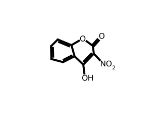 O=c1oc2ccccc2c(O)c1[N+](=O)[O-]